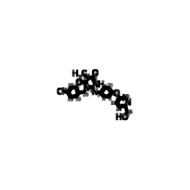 Cn1c(=O)[nH]/c(=N\c2ccc(Oc3ccc(CO)nn3)cc2)n(Cc2ccc(Cl)cc2)c1=O